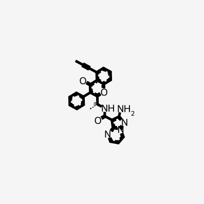 CC#Cc1cccc2oc([C@@H](C)NC(=O)c3c(N)nn4cccnc34)c(-c3ccccc3)c(=O)c12